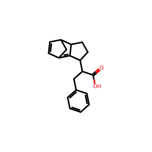 O=C(O)C(Cc1ccccc1)C1CCC2C1=C1C=CC2C1